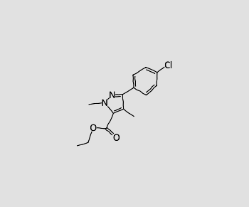 CCOC(=O)c1c(C)c(-c2ccc(Cl)cc2)nn1C